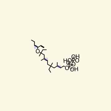 C=C/C(=C\CC)OC(C)(CC)C/C(C)=C/CC(C)(CC)C/C(C)=C/COP(=O)(O)OP(=O)(O)O